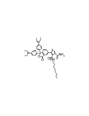 CCCCCCCCNC(=O)c1c(C(N)=O)csc1-c1ccc2c(c1)C(=O)OC2(c1ccc(N(CC)CC)cc1)c1ccc(N(CC)CC)cc1